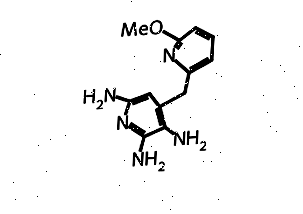 COc1cccc(Cc2cc(N)nc(N)c2N)n1